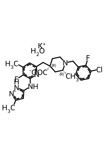 Cc1cc(Nc2nc(C[C@@]3(C(=O)[O-])CCN(Cc4cccc(Cl)c4F)[C@H](C)C3)cc(C)c2F)[nH]n1.O.[K+]